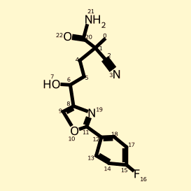 CC(C#N)(CCC(O)c1coc(-c2ccc(F)cc2)n1)C(N)=O